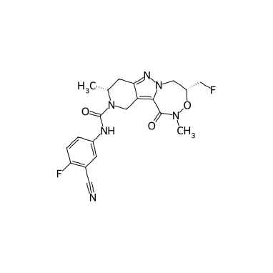 C[C@@H]1Cc2nn3c(c2CN1C(=O)Nc1ccc(F)c(C#N)c1)C(=O)N(C)O[C@@H](CF)C3